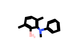 Bc1c(C)ccc(C)c1N(C)c1ccccc1